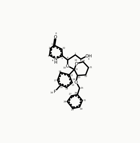 O=c1cc[nH]c(C(CCO)OC2(c3ccc(F)cc3)OCCCC2OCc2ccccc2)c1